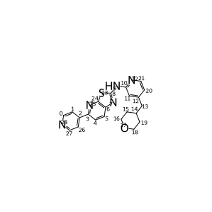 c1cc(-c2ccc3nc(Nc4cc(CC5CCOCC5)ccn4)sc3n2)ccn1